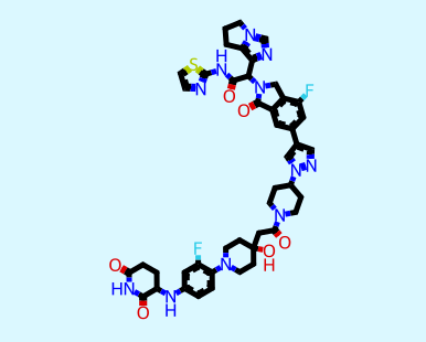 O=C1CCC(Nc2ccc(N3CCC(O)(CC(=O)N4CCC(n5cc(-c6cc(F)c7c(c6)C(=O)N(C(C(=O)Nc6nccs6)c6ncn8c6CCC8)C7)cn5)CC4)CC3)c(F)c2)C(=O)N1